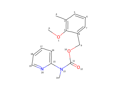 COc1c(C)cccc1COC(=O)N(C)c1ccccn1